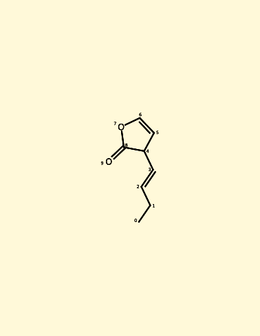 CCC=CC1C=COC1=O